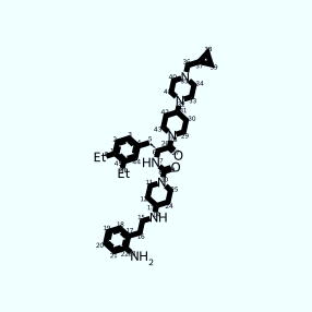 CCc1ccc(C[C@@H](NC(=O)N2CCC(NCCc3ccccc3N)CC2)C(=O)N2CCC(N3CCN(CC4CC4)CC3)CC2)cc1CC